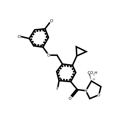 O=C(O)[C@@H]1COCN1C(=O)c1cc(C2CC2)c(COc2cc(Cl)cc(Cl)c2)cc1F